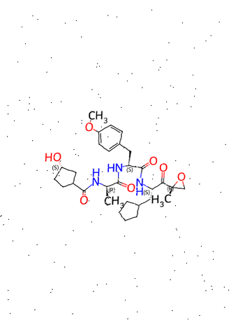 COc1ccc(C[C@H](NC(=O)[C@@H](C)NC(=O)C2CC[C@H](O)C2)C(=O)N[C@@H](CC2CCCC2)C(=O)[C@@]2(C)CO2)cc1